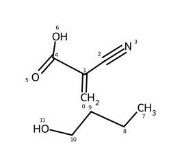 C=C(C#N)C(=O)O.CCCCO